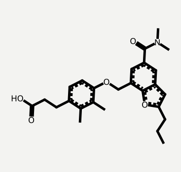 CCCc1cc2cc(C(=O)N(C)C)cc(COc3ccc(CCC(=O)O)c(C)c3C)c2o1